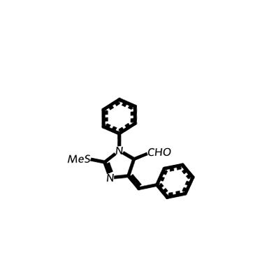 CSC1=NC(=Cc2ccccc2)C(C=O)N1c1ccccc1